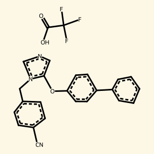 N#Cc1ccc(Cn2cncc2Oc2ccc(-c3ccccc3)cc2)cc1.O=C(O)C(F)(F)F